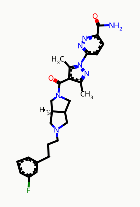 Cc1nn(-c2ccc(C(N)=O)nn2)c(C)c1C(=O)N1CC2CN(CC[CH]c3cccc(F)c3)C[C@H]2C1